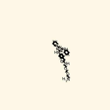 NCCOCCOCCNC(=O)Cc1ccc(Nc2nc(NC3CCCCC3)nc(N3CCCCC3)n2)cc1